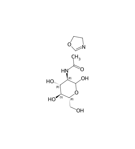 C1=NCCO1.CC(=O)N[C@H]1C(O)O[C@H](CO)[C@@H](O)[C@@H]1O